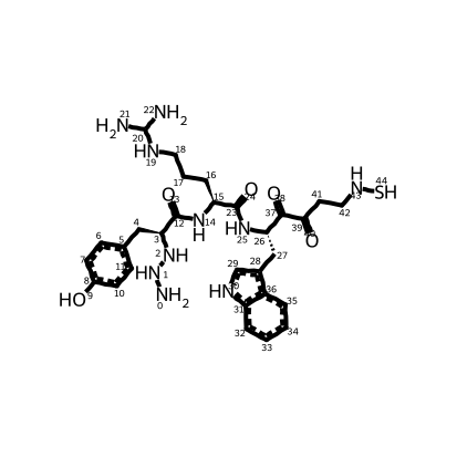 NNN[C@@H](Cc1ccc(O)cc1)C(=O)N[C@@H](CCCNC(N)N)C(=O)N[C@@H](Cc1c[nH]c2ccccc12)C(=O)C(=O)CCNS